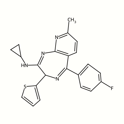 Cc1ccc2c(n1)N=C(NC1CC1)C(c1cccs1)N=C2c1ccc(F)cc1